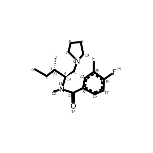 CC[C@H](C)[C@@H](CN1CCCC1)N(C)C(=O)c1ccc(F)c(C)c1